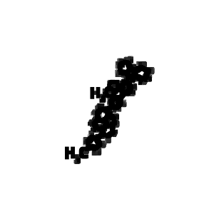 Cc1ccc(-c2ccc3ccc4c(-c5ccc6c(c5)C(C)(C)c5cc(-n7c8ccccc8c8ccccc87)ccc5-6)ccc5ccc2c3c54)cc1